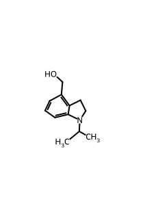 CC(C)N1CCc2c(CO)cccc21